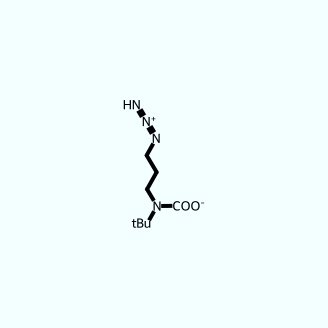 CC(C)(C)N(CCCN=[N+]=N)C(=O)[O-]